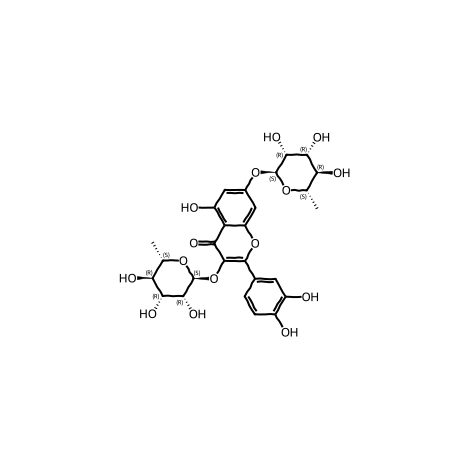 C[C@@H]1O[C@@H](Oc2cc(O)c3c(=O)c(O[C@@H]4O[C@@H](C)[C@H](O)[C@@H](O)[C@H]4O)c(-c4ccc(O)c(O)c4)oc3c2)[C@H](O)[C@H](O)[C@H]1O